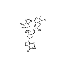 Nc1nc2c(ncn2[C@@H]2O[C@@H]3C(O)[C@]3(F)[C@H]2OP(=O)(S)OC[C@H]2O[C@@H](n3ccc4c(=O)[nH]cnc43)C[C@@H]2O)c(=O)[nH]1